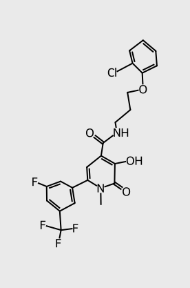 Cn1c(-c2cc(F)cc(C(F)(F)F)c2)cc(C(=O)NCCCOc2ccccc2Cl)c(O)c1=O